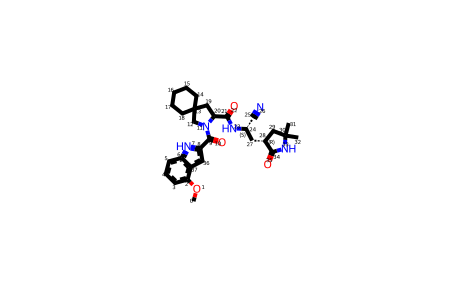 COc1cccc2[nH]c(C(=O)N3CC4(CCCCC4)CC3C(=O)N[C@H](C#N)C[C@@H]3CC(C)(C)NC3=O)cc12